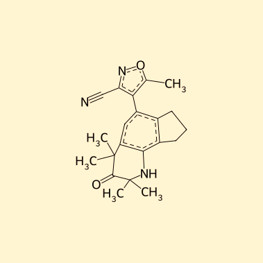 Cc1onc(C#N)c1-c1cc2c(c3c1CCC3)NC(C)(C)C(=O)C2(C)C